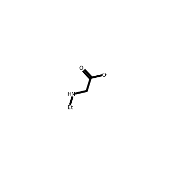 CCNCC([O])=O